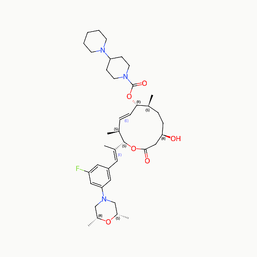 C/C(=C\c1cc(F)cc(N2C[C@@H](C)O[C@@H](C)C2)c1)[C@H]1OC(=O)C[C@H](O)CC[C@H](C)[C@@H](OC(=O)N2CCC(N3CCCCC3)CC2)/C=C/[C@@H]1C